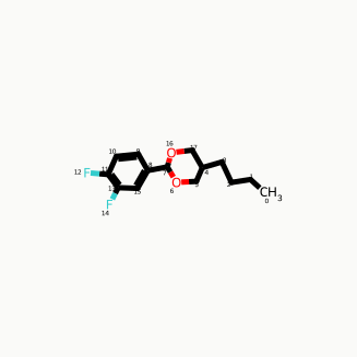 CCCCC1COC(c2ccc(F)c(F)c2)OC1